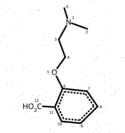 CN(C)CCOc1ccccc1C(=O)O